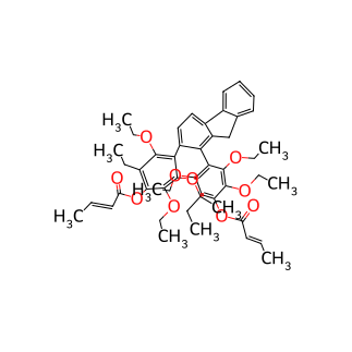 CC=CC(=O)Oc1c(CC)c(OCC)c(-c2ccc3c(c2-c2c(OCC)c(CC)c(OC(=O)C=CC)c(OCC)c2OCC)Cc2ccccc2-3)c(OCC)c1OCC